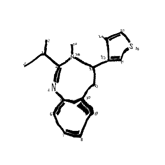 CC(C)C1=Nc2ccccc2CC(c2ccsc2)N1C